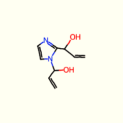 C=CC(O)c1nccn1C(O)C=C